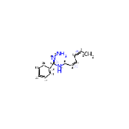 C/C=C\C=C/CN/C(=N\N)C1=CC=C=CC1